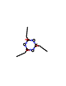 CCCCCCCCCCC#Cc1cc2c(O)c(c1)/C=N/C1CCCCC1/N=C/c1cc(C#CCCCCCCCCCC)c(C)c(c1O)/C=N/C1CCCCC1/N=C/c1cc(C#CCCCCCCCCCC)cc(c1O)/C=N/C1CCCCC1/N=C/2